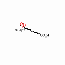 CCCCCCCC(CCCCCCCCCC(=O)O)C1OCOCO1